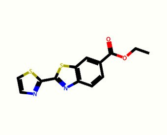 CCOC(=O)c1ccc2nc(-c3nccs3)sc2c1